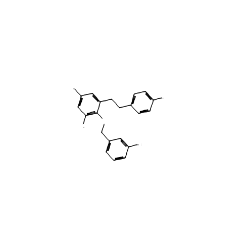 O=C(O)c1ccc(CCc2cc(Cl)cc(Br)c2OCc2cccc(Br)c2)cc1